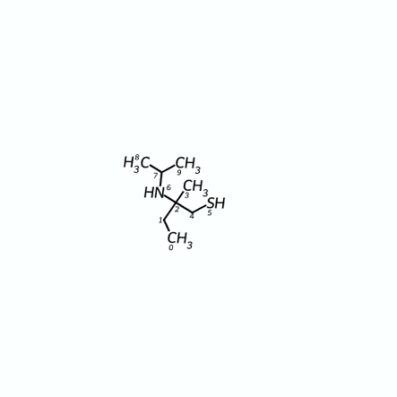 CCC(C)(CS)NC(C)C